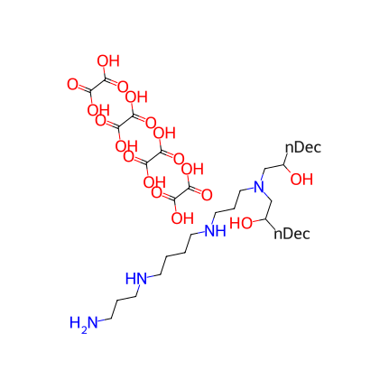 CCCCCCCCCCC(O)CN(CCCNCCCCNCCCN)CC(O)CCCCCCCCCC.O=C(O)C(=O)O.O=C(O)C(=O)O.O=C(O)C(=O)O.O=C(O)C(=O)O